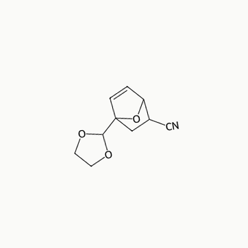 N#CC1CC2(C3OCCO3)C=CC1O2